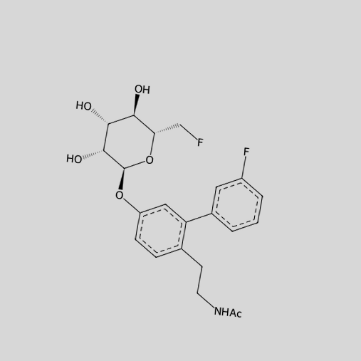 CC(=O)NCCc1ccc(O[C@@H]2O[C@@H](CF)[C@H](O)[C@@H](O)[C@H]2O)cc1-c1cccc(F)c1